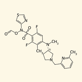 Cc1cccc(CN2CC[C@H](N(C)c3cc(F)c(S(=O)(=O)N(OC=O)c4cscn4)c(F)c3C)C2)n1